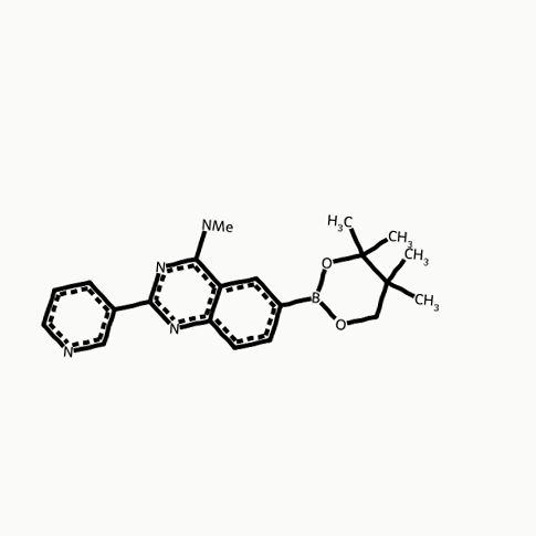 CNc1nc(-c2cccnc2)nc2ccc(B3OCC(C)(C)C(C)(C)O3)cc12